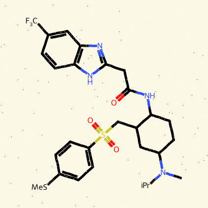 CSc1ccc(S(=O)(=O)CC2CC(N(C)C(C)C)CCC2NC(=O)Cc2nc3cc(C(F)(F)F)ccc3[nH]2)cc1